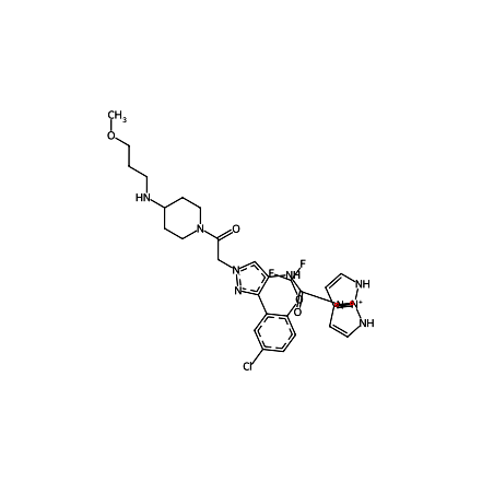 COCCCNC1CCN(C(=O)Cn2cc(NC(=O)N3C=CC[N+]45NC=CC34C=CN5)c(-c3cc(Cl)ccc3OC(F)F)n2)CC1